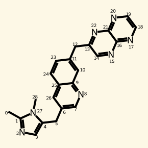 Cc1ncc(Cc2cnc3cc(Cc4cnc5nccnc5n4)ccc3c2)n1C